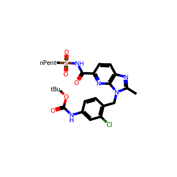 CCCCCS(=O)(=O)NC(=O)c1ccc2nc(C)n(Cc3ccc(NC(=O)OC(C)(C)C)cc3Cl)c2n1